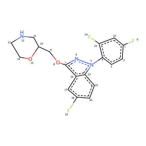 Fc1ccc(-n2nc(OCC3CNCCO3)c3cc(F)ccc32)c(F)c1